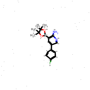 CC1(C)OB(c2cc(-c3ccc(F)cc3)cnc2N)OC1(C)C